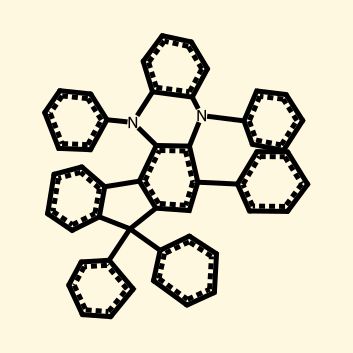 c1ccc(-c2cc3c(c4c2N(c2ccccc2)c2ccccc2N4c2ccccc2)-c2ccccc2C3(c2ccccc2)c2ccccc2)cc1